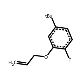 C=CCOc1cc(C(C)(C)C)ccc1F